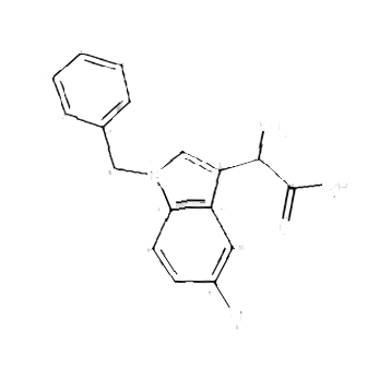 CC(C(=O)O)c1cn(Cc2ccccc2)c2ccc(Cl)cc12